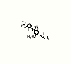 CCC(Cl)Oc1cc2nnnc(Nc3cccc(OC(F)(F)F)c3)c2cc1OC